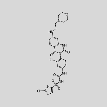 O=C(Nc1ccc(-n2c(=O)[nH]c3cc(NCCN4CCOCC4)ccc3c2=O)c(Cl)c1)NS(=O)(=O)c1ccc(Cl)s1